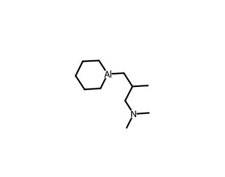 CC(CN(C)C)[CH2][Al]1[CH2]CCC[CH2]1